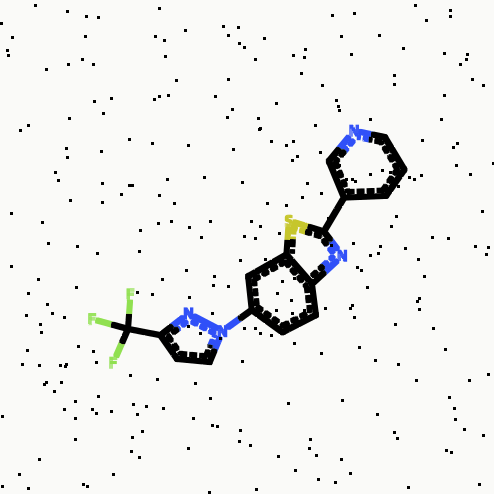 FC(F)(F)c1ccn(-c2ccc3nc(-c4cccnc4)sc3c2)n1